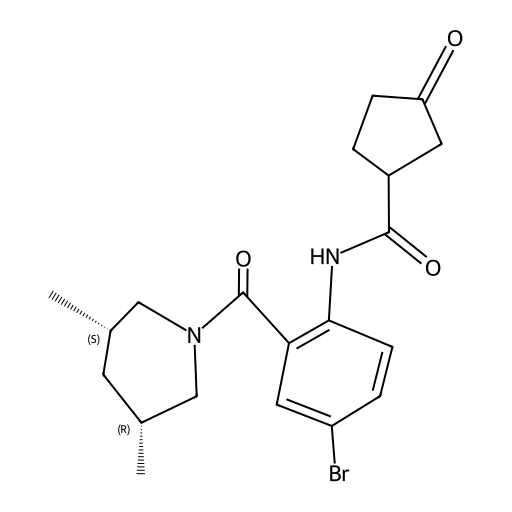 C[C@@H]1C[C@H](C)CN(C(=O)c2cc(Br)ccc2NC(=O)C2CCC(=O)C2)C1